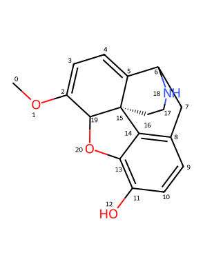 COC1=CC=C2C3Cc4ccc(O)c5c4[C@@]2(CCN3)C1O5